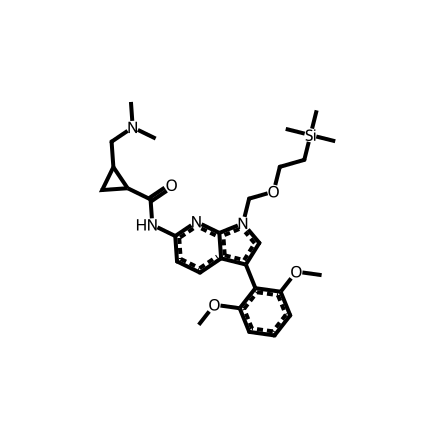 COc1cccc(OC)c1-c1cn(COCC[Si](C)(C)C)c2nc(NC(=O)C3CC3CN(C)C)ccc12